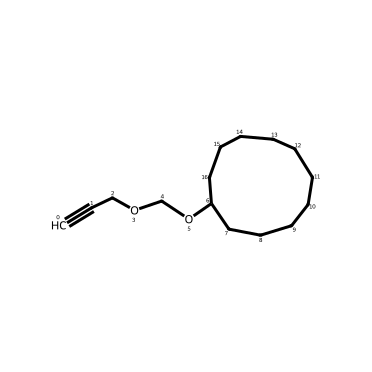 C#CCOCOC1CCCCCCCCCC1